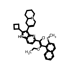 CCOC(=C(Cl)c1ccc2[nH]c(C3CCC3)c(C3=CCN4CCCCC4C3)c2n1)c1c(SC)ccc2ccccc12